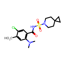 CN(C)c1cc(C(=O)O)c(Cl)cc1C(=O)NS(=O)(=O)N1CCC2(CC1)CC2